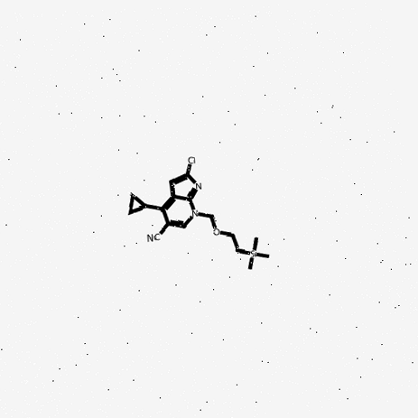 C[Si](C)(C)CCOCn1cc(C#N)c(C2CC2)c2cc(Cl)nc1-2